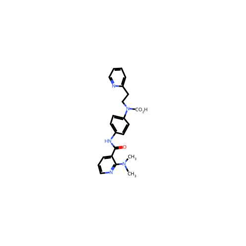 CN(C)c1ncccc1C(=O)Nc1ccc(N(CCc2ccccn2)C(=O)O)cc1